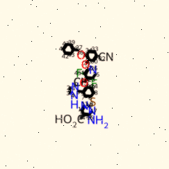 CN1CCNC1c1cc(Sc2ncc(C(=O)O)c(N)n2)ccc1Oc1c(F)cnc(Oc2cc(C#N)ccc2OCc2ccccc2)c1F